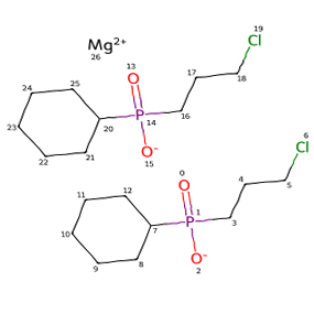 O=P([O-])(CCCCl)C1CCCCC1.O=P([O-])(CCCCl)C1CCCCC1.[Mg+2]